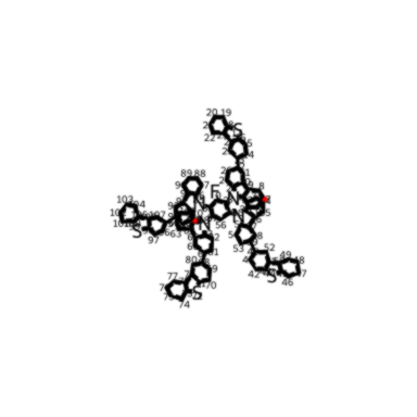 Fc1c(-n2c3ccccc3c3cc(-c4ccc5sc6ccccc6c5c4)ccc32)c(-n2c3ccccc3c3cc(-c4ccc5sc6ccccc6c5c4)ccc32)cc(-n2c3ccccc3c3cc(-c4ccc5sc6ccccc6c5c4)ccc32)c1-n1c2ccccc2c2cc(-c3ccc4sc5ccccc5c4c3)ccc21